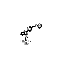 CN(CC(O)NC(C)(C)C)c1nc(-c2ccc(CCOC3CCCCO3)cn2)nc2c1CCC2